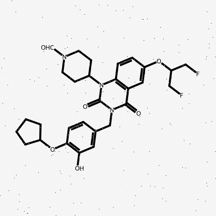 O=CN1CCC(n2c(=O)n(Cc3ccc(OC4CCCC4)c(O)c3)c(=O)c3cc(OC(CF)CF)ccc32)CC1